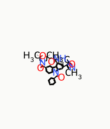 Cc1noc(C)c1-c1cc(C(N)=O)c2c3cc(C(=O)N4C[C@@H](C)O[C@@H](C)C4)ccc3n(C(=O)c3ccccc3)c2c1